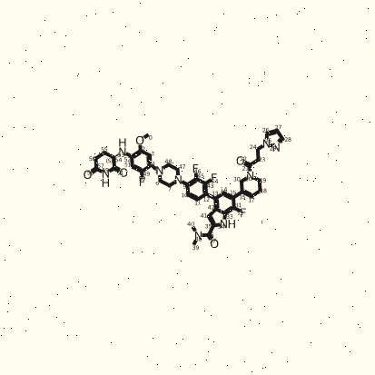 COc1cc(N2CCN(c3ccc(-c4cc(C5=CCCN(C(=O)CCn6cccn6)C5)c(F)c5[nH]c(C(=O)N(C)C)cc45)c(F)c3F)CC2)c(F)cc1N[C@H]1CCC(=O)NC1=O